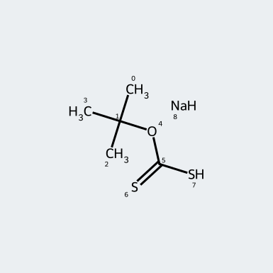 CC(C)(C)OC(=S)S.[NaH]